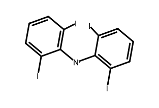 Ic1cccc(I)c1[N]c1c(I)cccc1I